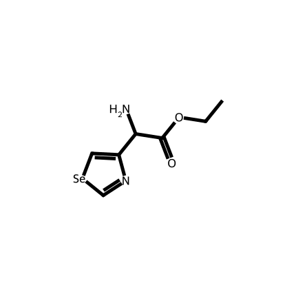 CCOC(=O)C(N)c1c[se]cn1